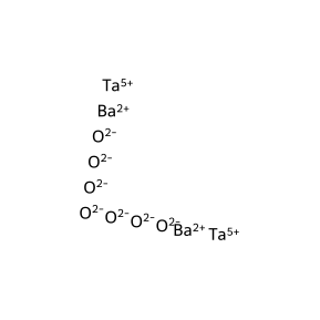 [Ba+2].[Ba+2].[O-2].[O-2].[O-2].[O-2].[O-2].[O-2].[O-2].[Ta+5].[Ta+5]